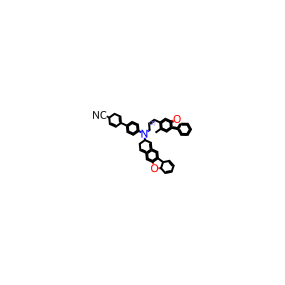 Cc1cc2c(cc1/C=C\CN(c1ccc(C3=CCC(C#N)C=C3)cc1)C1C=c3cc4c(cc3=CC1)OC1C=CC=CC41)oc1ccccc12